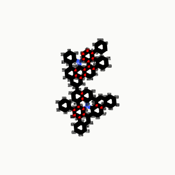 c1ccc(-c2ccc(N(c3ccccc3-c3ccc4cc(-c5ccc(-c6c(-c7ccccc7)cccc6N(c6ccccc6-c6ccc7ccccc7c6)c6ccccc6-c6cc7ccccc7c7ccccc67)cc5)ccc4c3)c3ccccc3-c3cc4ccccc4c4ccccc34)c(-c3ccccc3)c2)cc1